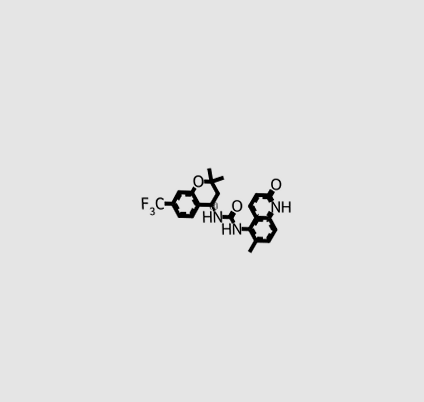 Cc1ccc2[nH]c(=O)ccc2c1NC(=O)N[C@@H]1CC(C)(C)Oc2cc(C(F)(F)F)ccc21